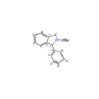 CC(C)(C)N1Cc2ccccc2C1c1ccccc1